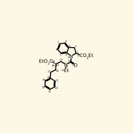 CCOC(=O)C1Cc2ccccc2N1C(=O)N(CC)C[C@@H](CCc1ccccc1)C(=O)OCC